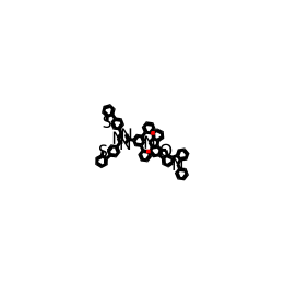 c1ccc(-c2cc(-c3nc(-c4ccc5c(c4)sc4ccccc45)nc(-c4ccc5c(c4)sc4ccccc45)n3)cc(-c3ccccc3)c2-n2c3ccccc3c3c4oc5c(ccc6c5c5ccccc5n6-c5ccccc5)c4ccc32)cc1